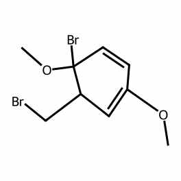 COC1=CC(CBr)C(Br)(OC)C=C1